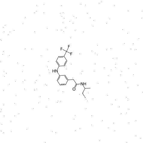 CCC(C)NC(=O)Cc1cccc(Nc2ccc(C(F)(F)F)cc2)c1